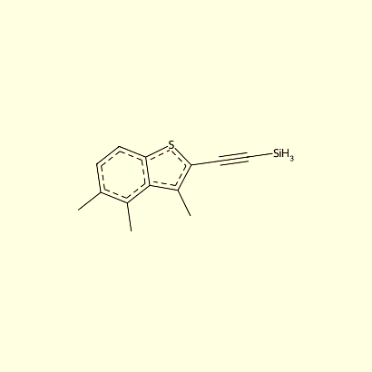 Cc1ccc2sc(C#C[SiH3])c(C)c2c1C